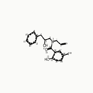 C=CCN(CC(O)Cc1ccccc1)C(=O)c1cc(I)ccc1O